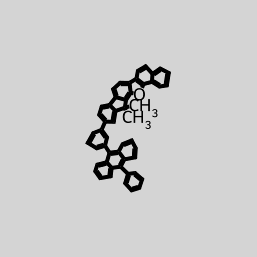 CC1(C)c2cc(-c3cccc(-c4c5ccccc5c(-c5ccccc5)c5ccccc45)c3)ccc2-c2ccc3c(oc4c5ccccc5ccc34)c21